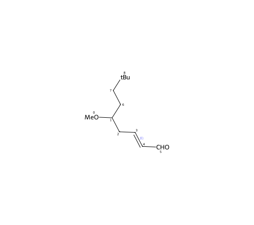 COC(C/C=C/C=O)CCC(C)(C)C